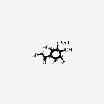 CCCCCc1c(O)c(F)c(F)c(C(=O)CF)c1O